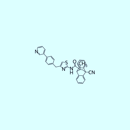 CC1(C(=O)Nc2nc(Cc3ccc(-c4cccnc4)cc3)cs2)CC2(C#N)c3ccccc3C1c1ccccc12